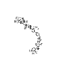 Cc1cc(-c2ccc(CN3CCN(c4ncc(NC5CCC(=O)NC5=O)cc4F)CC3)cc2)ccc1-n1cc(C(=O)NCc2nc(C(C)(C)C(F)(F)F)n[nH]2)cn1